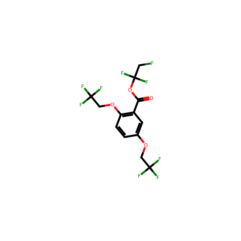 O=C(OC(F)(F)CF)c1cc(OCC(F)(F)F)ccc1OCC(F)(F)F